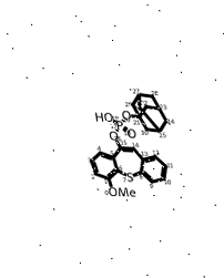 COc1cccc2c1Sc1ccccc1C=C2OP(=O)(O)OC12CC3CC(CC(C3)C1)C2